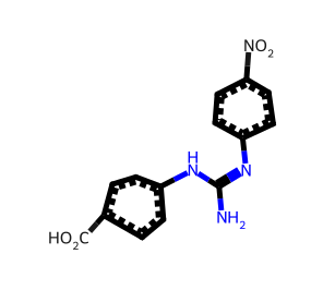 NC(=Nc1ccc([N+](=O)[O-])cc1)Nc1ccc(C(=O)O)cc1